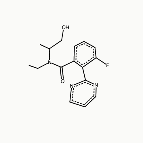 CCN(C(=O)c1cccc(F)c1-c1ncccn1)C(C)CO